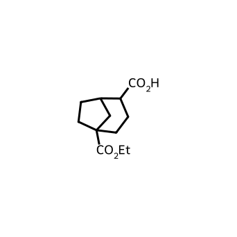 CCOC(=O)C12CCC(C1)C(C(=O)O)CC2